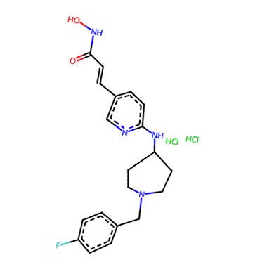 Cl.Cl.O=C(C=Cc1ccc(NC2CCN(Cc3ccc(F)cc3)CC2)nc1)NO